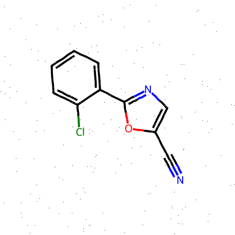 N#Cc1cnc(-c2ccccc2Cl)o1